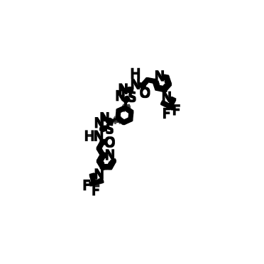 O=C(Cc1cc(N2CC(F)(F)C2)ccn1)Nc1nnc([C@H]2CCC[C@H](c3nnc(NC(=O)Cc4cc(N5CC(F)(F)C5)ccn4)s3)C2)s1